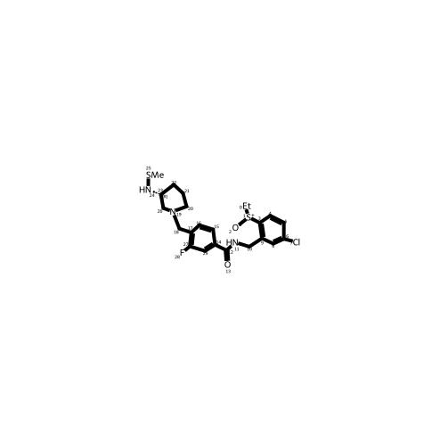 CC[S+]([O-])c1ccc(Cl)cc1CNC(=O)c1ccc(CN2CCC[C@@H](NSC)C2)c(F)c1